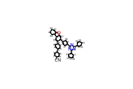 N#Cc1ccc(-c2ccc(-c3cc4c(cc3-c3ccc(-c5nc(-c6ccccc6)nc(-c6ccccc6)n5)cc3)oc3ccccc34)cc2)cc1